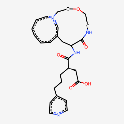 O=C(O)C[C@@H](CCCc1ccncc1)C(=O)NC1Cc2ccccccn(c2)CCOCCNC1=O